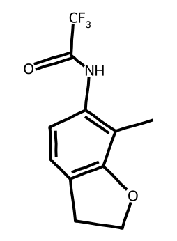 Cc1c(NC(=O)C(F)(F)F)ccc2c1OCC2